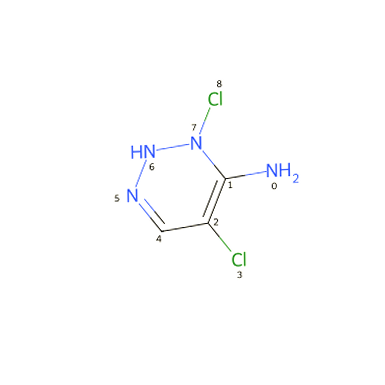 NC1=C(Cl)C=NNN1Cl